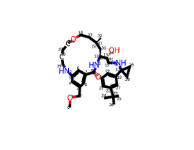 COCc1cc2cc(c1)C(=O)N[C@H]([C@H](O)CNC1(c3cccc(C(C)(C)C)c3)CC1)C[C@H](C)CCOCCCCN2